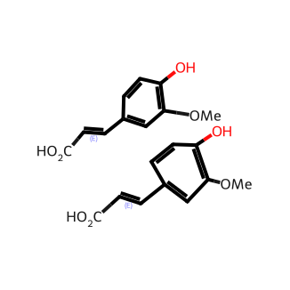 COc1cc(/C=C/C(=O)O)ccc1O.COc1cc(/C=C/C(=O)O)ccc1O